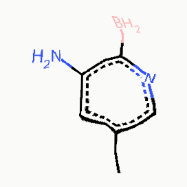 Bc1ncc(C)cc1N